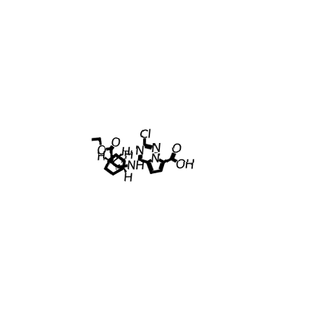 CCOC(=O)[C@H]1[C@H]2CC[C@H](CC2)[C@@H]1Nc1nc(Cl)nn2c(C(=O)O)ccc12